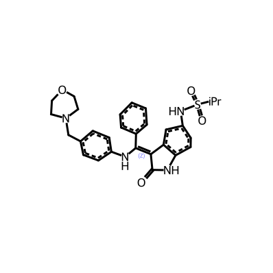 CC(C)S(=O)(=O)Nc1ccc2c(c1)/C(=C(/Nc1ccc(CN3CCOCC3)cc1)c1ccccc1)C(=O)N2